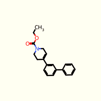 CCOC(=O)N1CC=C(c2cccc(-c3ccccc3)c2)CC1